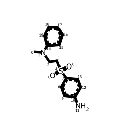 CN(CCS(=O)(=O)c1ccc(N)cc1)c1ccccc1